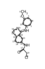 COc1cccc(Nc2ncnc3ccc(NC(=O)CCl)cc23)c1